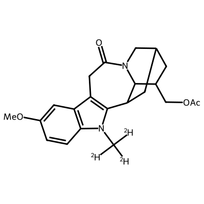 [2H]C([2H])([2H])n1c2c(c3cc(OC)ccc31)CC(=O)N1CC3CC(COC(C)=O)C1C2C3